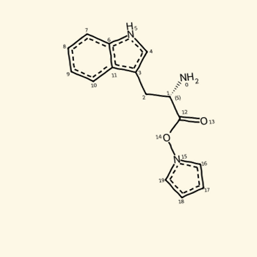 N[C@@H](Cc1c[nH]c2ccccc12)C(=O)On1cccc1